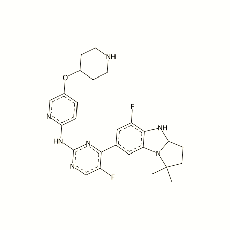 CC1(C)CCC2Nc3c(F)cc(-c4nc(Nc5ccc(OC6CCNCC6)cn5)ncc4F)cc3N21